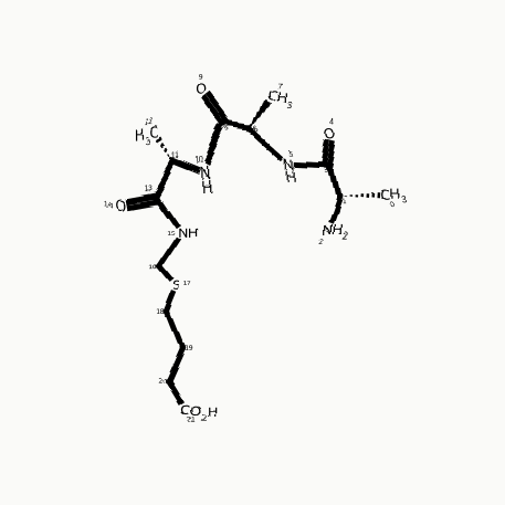 C[C@H](N)C(=O)N[C@H](C)C(=O)N[C@@H](C)C(=O)NCSCCCC(=O)O